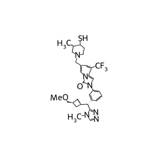 COC[C@H]1C[C@@H]([C@H](c2cccc(-n3cc4c(C(F)(F)F)cc(CN5CCC(S)[C@H](C)C5)cn4c3=O)c2)c2nncn2C)C1